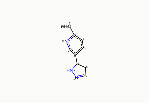 COc1ccc(C2CC=NN2)cn1